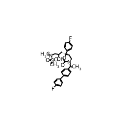 C[C@@H](c1ccc(-c2ccc(F)cc2)cc1)N1CC[C@](CC(O)CN(C)S(C)(=O)=O)(c2ccc(F)cc2)OC1=O